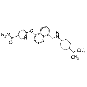 CC(C)C1CCC(NCc2cccc3c(Oc4ccc(C(N)=O)cn4)cccc23)CC1